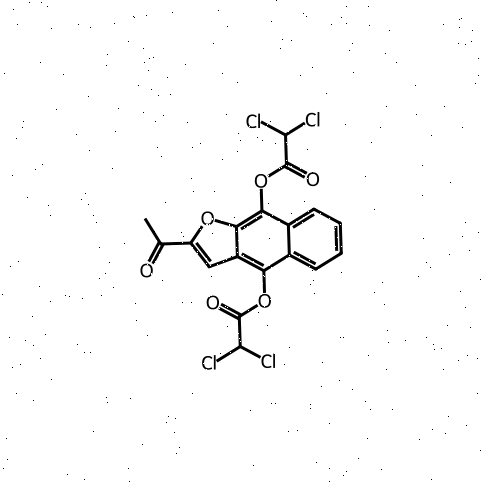 CC(=O)c1cc2c(OC(=O)C(Cl)Cl)c3ccccc3c(OC(=O)C(Cl)Cl)c2o1